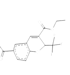 CCOC(=O)C1=Cc2cc(C(C)=O)ccc2OC1C(F)(F)F